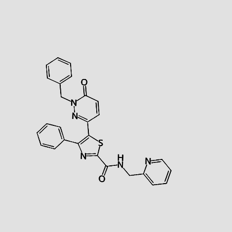 O=C(NCc1ccccn1)c1nc(-c2ccccc2)c(-c2ccc(=O)n(Cc3ccccc3)n2)s1